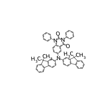 CC1(C)c2ccccc2-c2ccc(N(c3ccc4c(c3)C(C)(C)c3ccccc3-4)c3ccc4c(c3)c(=O)n(-c3ccccc3)c(=O)n4-c3ccccc3)cc21